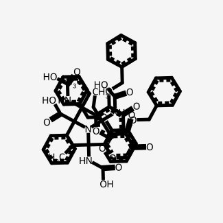 CCC(NC(=O)O)(c1occc(=O)c1OCc1ccccc1)N(C(CC)(NC(=O)O)c1occc(=O)c1OCc1ccccc1)C(C(=O)O)(c1ccccc1)C(CC)(NC(=O)O)c1occc(=O)c1OCc1ccccc1